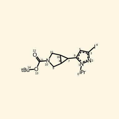 CC(C)n1nc(I)cc1C1C2CN(C(=O)OC(C)(C)C)CC21